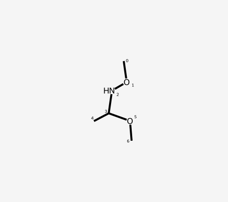 CONC(C)OC